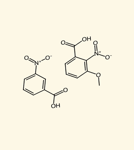 COc1cccc(C(=O)O)c1[N+](=O)[O-].O=C(O)c1cccc([N+](=O)[O-])c1